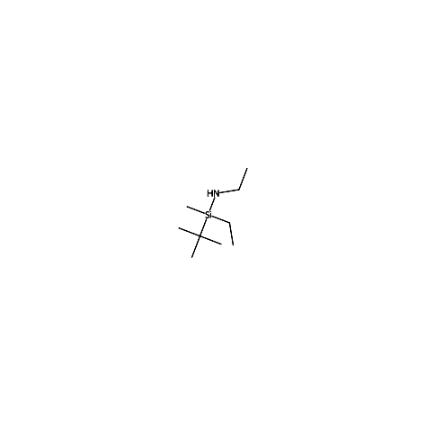 CCN[Si](C)(CC)C(C)(C)C